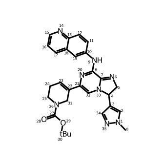 Cn1cc(C2CN=C3C(Nc4ccc5ncccc5c4)=NC(C4=CCCN(C(=O)OC(C)(C)C)C4)=CN32)cn1